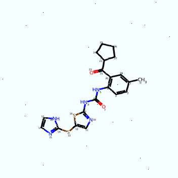 Cc1ccc(NC(=O)Nc2ncc(Sc3ncc[nH]3)s2)c(C(=O)C2CCCC2)c1